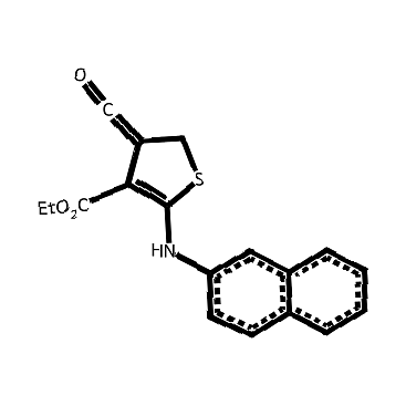 CCOC(=O)C1=C(Nc2ccc3ccccc3c2)SCC1=C=O